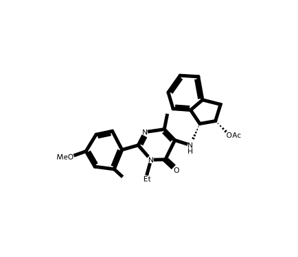 CCn1c(-c2ccc(OC)cc2C)nc(C)c(N[C@@H]2c3ccccc3C[C@@H]2OC(C)=O)c1=O